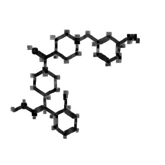 CON=C(c1ccccc1F)C1CCN(C(=O)C2CCN(Cc3ccnc(N)c3)CC2)CC1